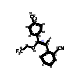 N#Cc1ccccc1/C(I)=C(\OCC(F)(F)F)c1ccc(C(F)(F)F)cc1